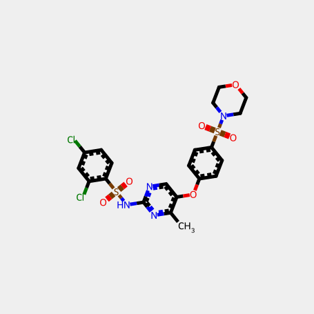 Cc1nc(NS(=O)(=O)c2ccc(Cl)cc2Cl)ncc1Oc1ccc(S(=O)(=O)N2CCOCC2)cc1